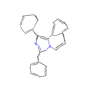 C1=CCCC(c2nc(-c3ccccc3)n3ccc4ccccc4c23)=C1